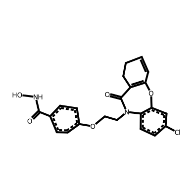 O=C(NO)c1ccc(OCCN2C(=O)C3=C(C=CCC3)Oc3cc(Cl)ccc32)cc1